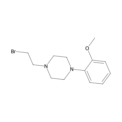 COc1ccccc1N1CCN(CCBr)CC1